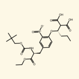 CCC[C@H](Oc1ccc(C[C@H](NC(=O)OCC(C)(C)C)C(=O)OCC)cc1[N+](=O)[O-])C(C(=O)O)C(=O)O